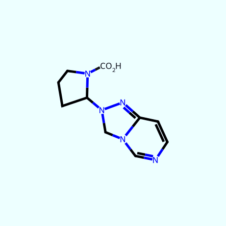 O=C(O)N1CCCC1N1CN2C=NC=CC2=N1